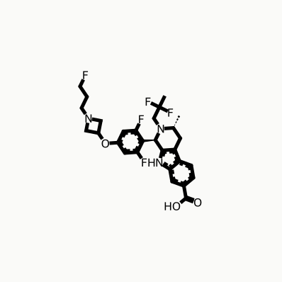 C[C@@H]1Cc2c([nH]c3cc(C(=O)O)ccc23)[C@@H](c2c(F)cc(OC3CN(CCCF)C3)cc2F)N1CC(C)(F)F